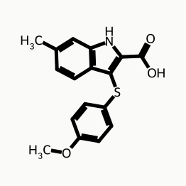 COc1ccc(Sc2c(C(=O)O)[nH]c3cc(C)ccc23)cc1